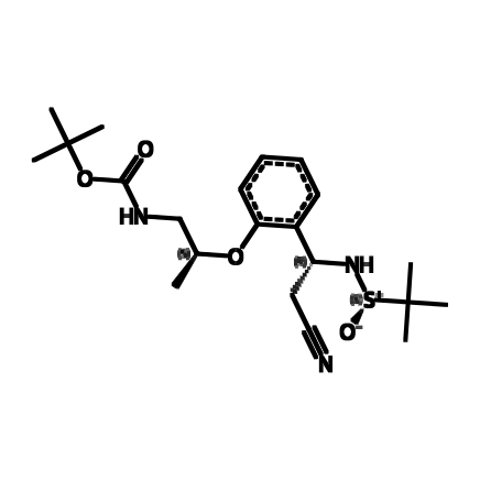 C[C@@H](CNC(=O)OC(C)(C)C)Oc1ccccc1[C@@H](CC#N)N[S@+]([O-])C(C)(C)C